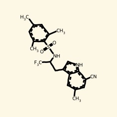 Cc1cc(C)c(S(=O)(=O)NC(Cc2c[nH]c3c(C#N)cc(C)cc23)C(F)(F)F)c(C)c1